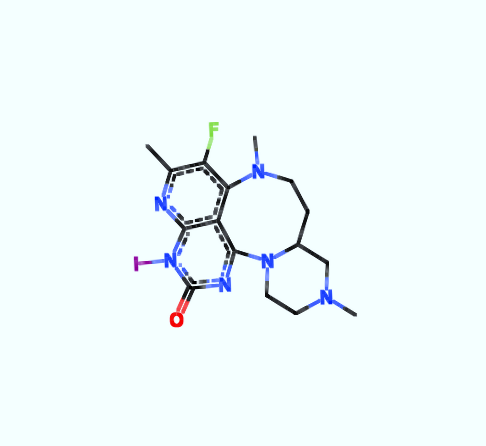 Cc1nc2c3c(nc(=O)n2I)N2CCN(C)CC2CCN(C)c3c1F